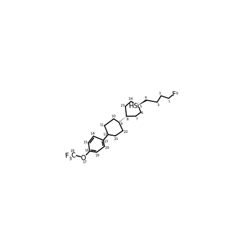 FCCCC[Si@H]1CC[C@H](C2CCC(c3ccc(OC(F)(F)F)cc3)CC2)CC1